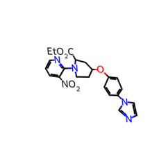 CCOC(=O)C1CC(Oc2ccc(-n3ccnc3)cc2)CCN1c1ncccc1[N+](=O)[O-]